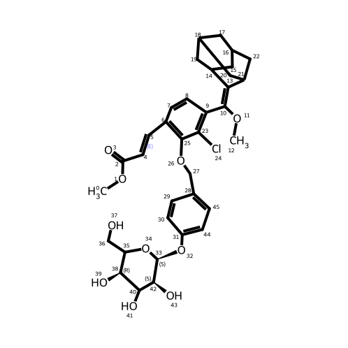 COC(=O)/C=C/c1ccc(C(OC)=C2C3CC4CC(C3)CC2C4)c(Cl)c1OCc1ccc(O[C@@H]2OC(CO)[C@H](O)C(O)[C@@H]2O)cc1